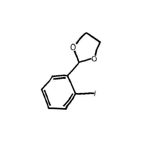 Ic1ccccc1C1OCCO1